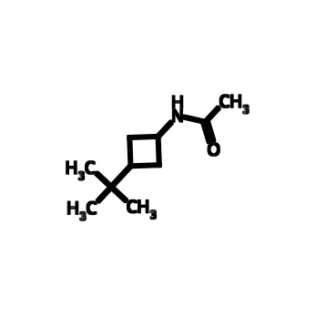 CC(=O)NC1CC(C(C)(C)C)C1